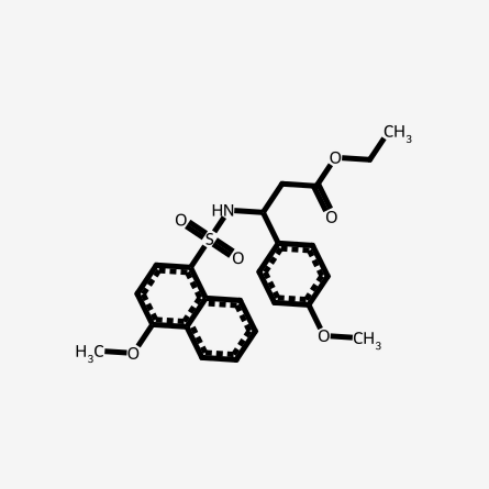 CCOC(=O)CC(NS(=O)(=O)c1ccc(OC)c2ccccc12)c1ccc(OC)cc1